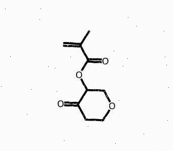 C=C(C)C(=O)OC1COCCC1=O